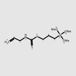 C=CCNC(=S)SCCC[Si](OC)(OC)OC